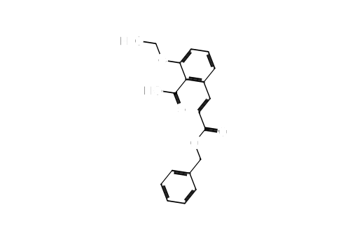 CCOc1cccc(/C=C/C(=O)OCc2ccccc2)c1C(=O)O